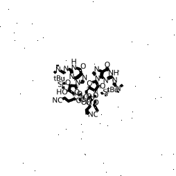 C=CCOP(=O)(OCCC#N)O[C@H]1[C@@H](O[Si](C)(C)C(C)(C)C)[C@H](n2cnc3c(=O)[nH]c(N=CN(C)C)nc32)O[C@@H]1COP(=O)(O)OC(CCC#N)[C@H]1O[C@@H](n2cnc3c(=O)[nH]c(N=CN(C)C)nc32)[C@H](O[Si](C)(C)C(C)(C)C)[C@@H]1O